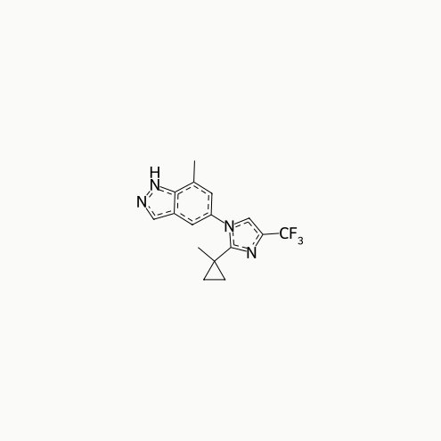 Cc1cc(-n2cc(C(F)(F)F)nc2C2(C)CC2)cc2cn[nH]c12